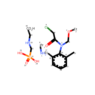 CC(C)N.CCOCN(C(=O)CCl)c1c(C)cccc1CC.O=C(O)CNCP(=O)(O)O